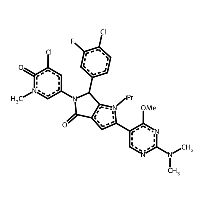 COc1nc(N(C)C)ncc1-c1cc2c(n1C(C)C)C(c1ccc(Cl)c(F)c1)N(c1cc(Cl)c(=O)n(C)c1)C2=O